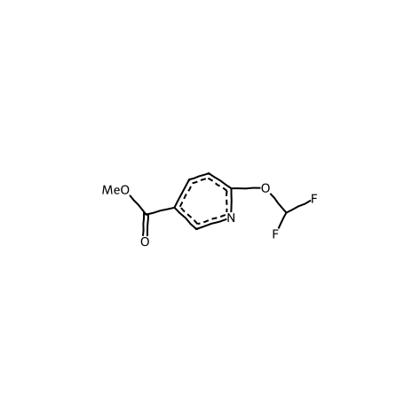 COC(=O)c1ccc(OC(F)F)nc1